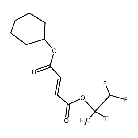 O=C(/C=C/C(=O)OC(F)(C(F)F)C(F)(F)F)OC1CCCCC1